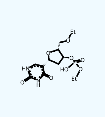 CCOC[C@H]1O[C@@H](c2c[nH]c(=O)[nH]c2=O)C[C@@H]1OP(=O)(O)OCC